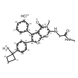 CNC(=O)CNc1nc2oc(-c3ccc(C4(N)CCC4)cc3)c(-c3ccccc3)c2c(=O)n1C.Cl